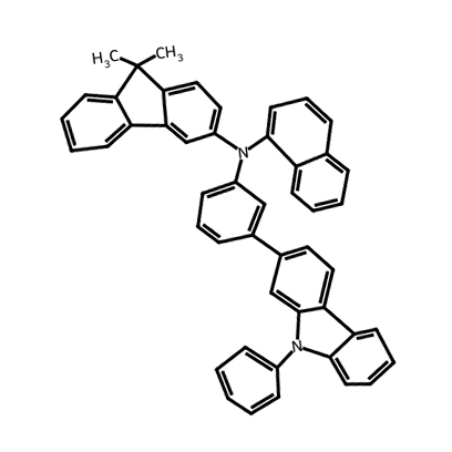 CC1(C)c2ccccc2-c2cc(N(c3cccc(-c4ccc5c6ccccc6n(-c6ccccc6)c5c4)c3)c3cccc4ccccc34)ccc21